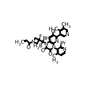 BC(B)(n1c(=O)c(=O)n(-c2c(C)ccnc2C(C)C)c2nc(-c3cncc(C)c3C)c(Cl)cc21)C1(F)CN(C(=O)C=C)C1